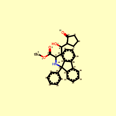 CC(C)(C)OC(=O)C(CC(O)C1CCCC1=O)NC1(c2ccccc2)c2ccccc2-c2ccccc21